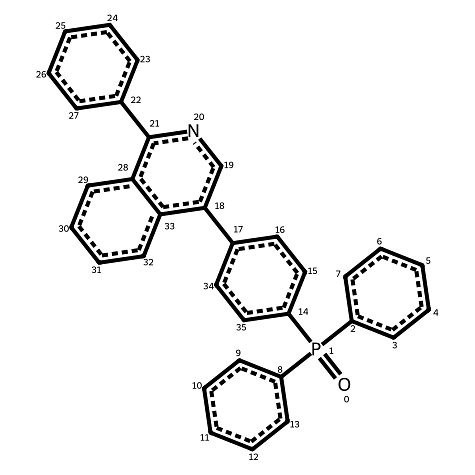 O=P(c1ccccc1)(c1ccccc1)c1ccc(-c2cnc(-c3ccccc3)c3ccccc23)cc1